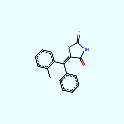 Cc1ccccc1/C(=C1\SC(=O)NC1=O)c1ccccc1